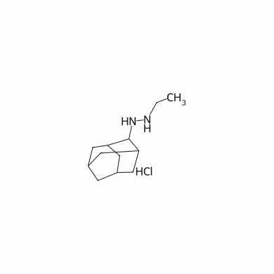 CCNNC1C2CC3CC(C2)CC1C3.Cl